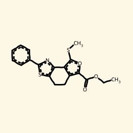 CCOC(=O)c1oc(SC)c2c1CCc1sc(-c3ccccc3)nc1-2